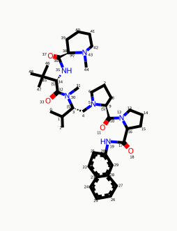 CC(C)[C@@H](CN1CCC[C@H]1C(=O)N1CCCC1C(=O)Nc1ccc2ccccc2c1)N(C)C(=O)[C@@H](NC(=O)[C@H]1CCCCN1C)C(C)(C)C